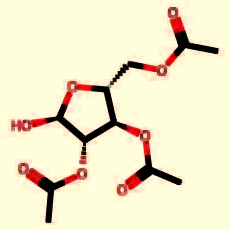 CC(=O)OC[C@H]1O[C@H](O)[C@@H](OC(C)=O)[C@@H]1OC(C)=O